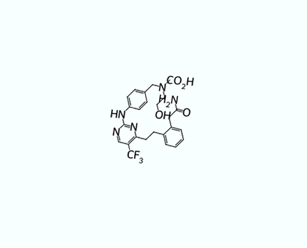 NC(=O)Cc1ccccc1CCc1nc(Nc2ccc(CN(CCO)C(=O)O)cc2)ncc1C(F)(F)F